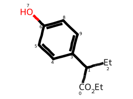 CCOC(=O)C(CC)c1ccc(O)cc1